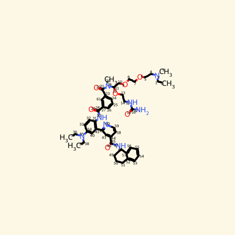 CCN(C)CCOCCOCC(OCCNC(N)=O)N(C)C(=O)c1cccc(C(=O)Nc2ccc(N(CC)CC)cc2-c2cc(C(=O)NC3CCCc4ccccc43)ccn2)c1